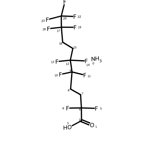 N.O=C(O)C(F)(F)CCC(F)(F)C(F)(F)CCC(F)(F)C(F)(F)F